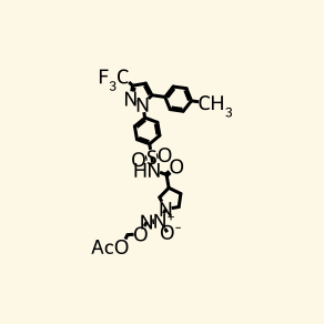 CC(=O)OCON=[N+]([O-])N1CCC(C(=O)NS(=O)(=O)c2ccc(-n3nc(C(F)(F)F)cc3-c3ccc(C)cc3)cc2)C1